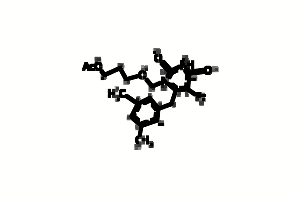 CCc1c(Cc2cc(C)cc(C)c2)n(COCCCOC(C)=O)c(=O)[nH]c1=O